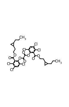 CCCC1CC1CCOC(=O)c1c(Cl)c(Cl)cc(Cl)c1OC(=O)C(=O)Oc1c(Cl)cc(Cl)c(Cl)c1C(=O)OCCC1CC1CCC